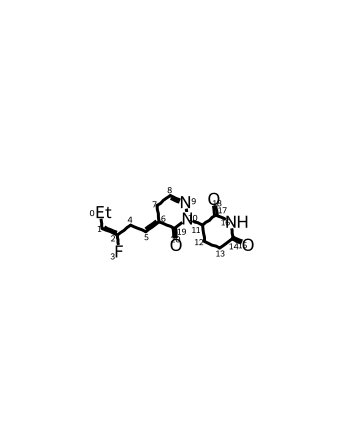 CC/C=C(/F)C/C=C1\CC=NN(C2CCC(=O)NC2=O)C1=O